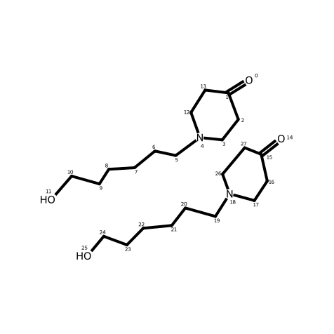 O=C1CCN(CCCCCCO)CC1.O=C1CCN(CCCCCCO)CC1